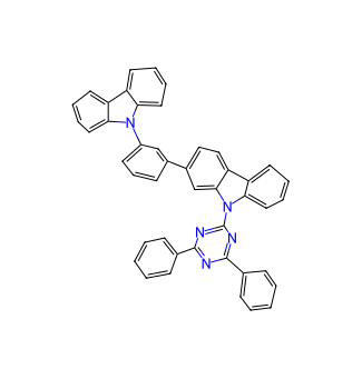 c1ccc(-c2nc(-c3ccccc3)nc(-n3c4ccccc4c4ccc(-c5cccc(-n6c7ccccc7c7ccccc76)c5)cc43)n2)cc1